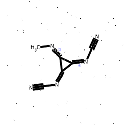 C/N=C1\C(=NC#N)\C1=N\C#N